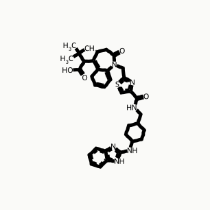 CC(C)(C)C(C(=O)O)C1=C2CC=CC=C2N(Cc2nc(C(=O)NCC3CCC(Nc4nc5ccccc5[nH]4)CC3)cs2)C(=O)CC1